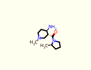 C[C@@H]1CCCN1C(=O)[C@@H]1CN(C)CC[C@H]1N